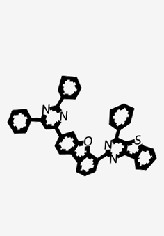 c1ccc(-c2cc(-c3ccc4c(c3)oc3c(-c5nc(-c6ccccc6)c6sc7ccccc7c6n5)cccc34)nc(-c3ccccc3)n2)cc1